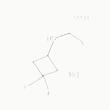 C[C@H](NC1CC(F)(F)C1)C(=O)O.Cl